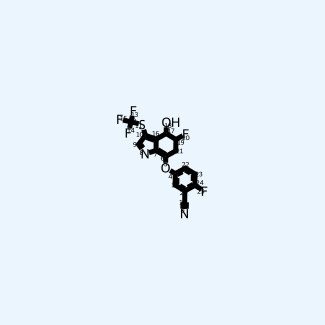 N#Cc1cc(OC2=C3N=CC(SC(F)(F)F)=C3C(O)C(F)C2)ccc1F